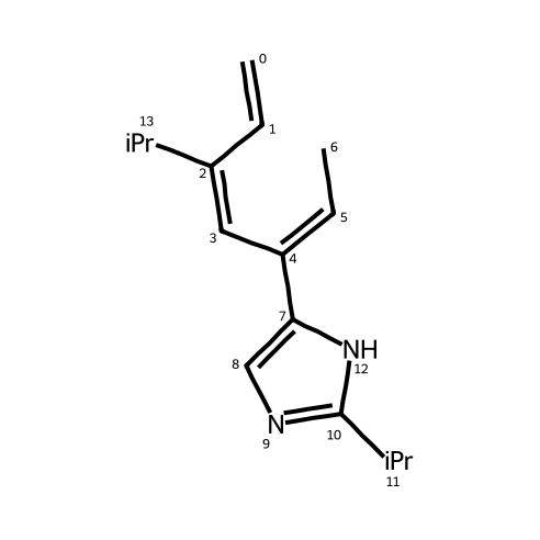 C=C/C(=C\C(=C/C)c1cnc(C(C)C)[nH]1)C(C)C